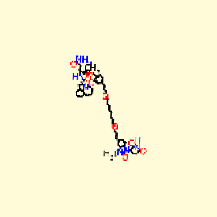 C[C@@H](OCc1ccc(CCCOCCCCCCCCOCCCc2ccc3c(c2)n(C)c(=O)n3C2CCC(=O)NC2=O)cc1)[C@H](CCC(N)=O)NC(=O)[C@@H]1Cc2cccc3c2N1C(=O)CCC3